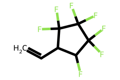 C=CC1C(F)C(F)(F)C(F)(F)C1(F)F